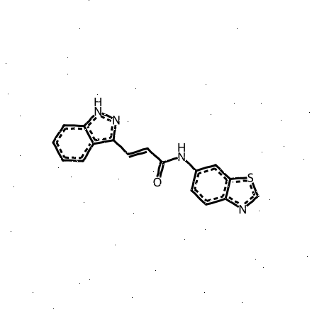 O=C(C=Cc1n[nH]c2ccccc12)Nc1ccc2ncsc2c1